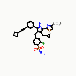 NS(=O)(=O)c1ccc(Cc2c(-c3cccc(C#CC4CCC4)c3)[nH]c(-c3nc(C(=O)O)cs3)c2CC2CC2)cc1F